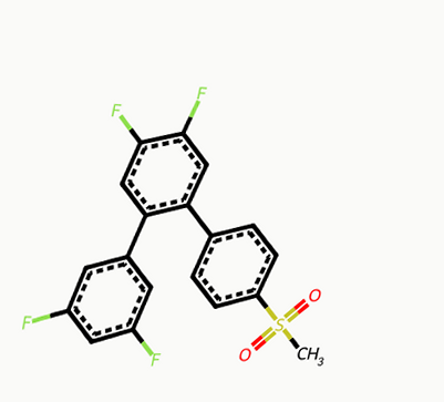 CS(=O)(=O)c1ccc(-c2cc(F)c(F)cc2-c2cc(F)cc(F)c2)cc1